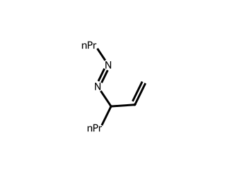 C=CC(CCC)N=NCCC